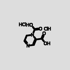 Cl.Cl.O=C(O)C1=CN=CCN1C(=O)O